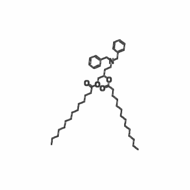 CCCCCCCCCCCCCC(=O)OCC(CCN(Cc1ccccc1)Cc1ccccc1)OC(=O)CCCCCCCCCCCCC